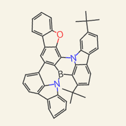 CC(C)(C)c1ccc2c3ccc(C(C)(C)C)c4c3n(c2c1)-c1c2c(cc3c1oc1ccccc13)-c1cccc3c5ccccc5n(c13)B24